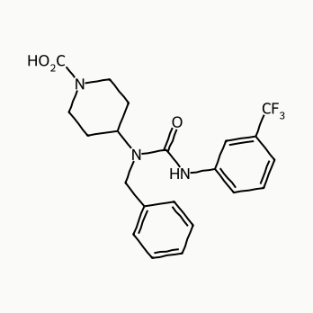 O=C(O)N1CCC(N(Cc2ccccc2)C(=O)Nc2cccc(C(F)(F)F)c2)CC1